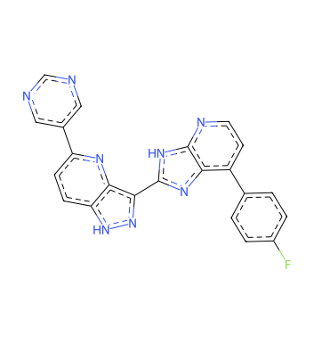 Fc1ccc(-c2ccnc3[nH]c(-c4n[nH]c5ccc(-c6cncnc6)nc45)nc23)cc1